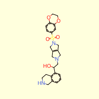 O=S(=O)(c1ccc2c(c1)OCCO2)N1CC2=C(CN(CC(O)c3cccc4c3CCNC4)C2)C1